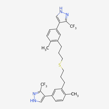 Cc1ccc(-c2c[nH]nc2C(F)(F)F)cc1CCCSCCCc1cc(-c2c[nH]nc2C(F)(F)F)ccc1C